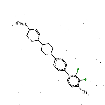 CCCCCC1C=CC(C2CCC(c3ccc(-c4ccc(C)c(F)c4F)cc3)CC2)CC1